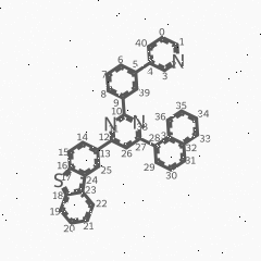 c1cncc(-c2cccc(-c3nc(-c4ccc5sc6ccccc6c5c4)cc(-c4cccc5ccccc45)n3)c2)c1